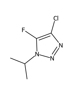 CC(C)n1nnc(Cl)c1F